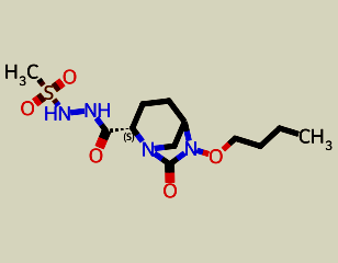 CCCCON1C(=O)N2CC1CC[C@H]2C(=O)NNS(C)(=O)=O